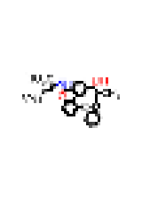 CSCC[C@H](NC(=O)c1ccc(C(O)C(C)CCC2CCCCC2)cc1-c1ccccc1C)C(=O)O